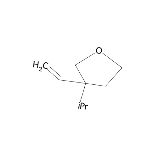 C=CC1(C(C)C)CCOC1